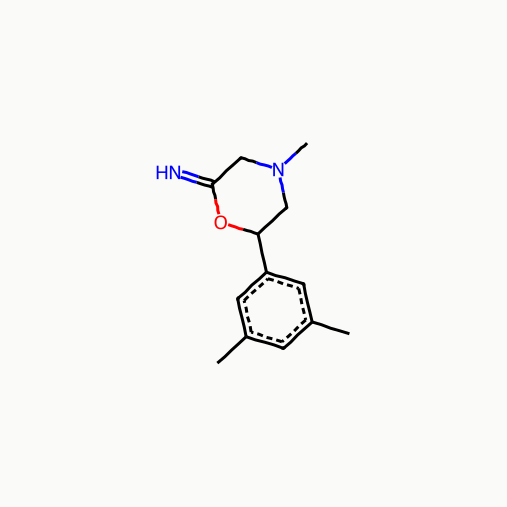 Cc1cc(C)cc(C2CN(C)CC(=N)O2)c1